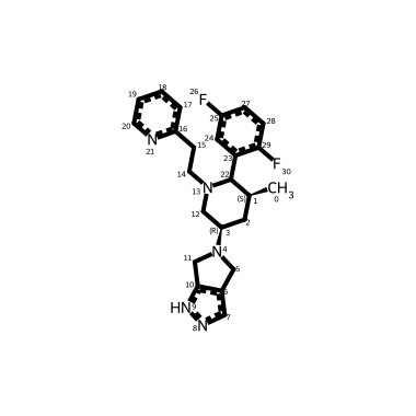 C[C@H]1C[C@@H](N2Cc3cn[nH]c3C2)CN(CCc2ccccn2)C1c1cc(F)ccc1F